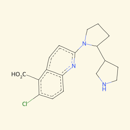 O=C(O)c1c(Cl)ccc2nc(N3CCCC3C3CCNC3)ccc12